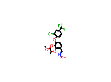 COC(=O)C(C)Oc1cc(Oc2ccc(C(F)(F)F)cc2Cl)ccc1/C=N/O